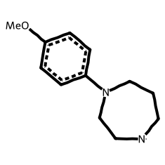 COc1ccc(N2CCC[N]CC2)cc1